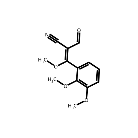 COC(=C(C#N)C=O)c1cccc(OC)c1OC